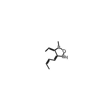 C\C=C/C=C1/BOB(C)/C1=C/C